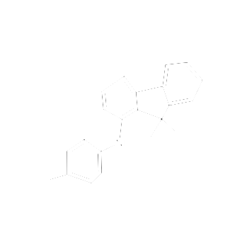 CC1(C)c2ccccc2-c2cccc(Nc3ccc(F)cc3)c21